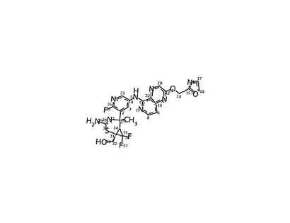 C[C@]1(c2cc(Nc3nccc4nc(OCc5ncco5)cnc34)cnc2F)N=C(N)S[C@]2(CO)C1C2(F)F